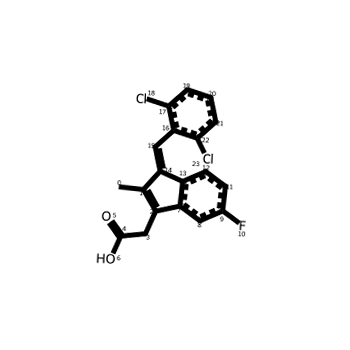 CC1=C(CC(=O)O)c2cc(F)ccc2C1=Cc1c(Cl)cccc1Cl